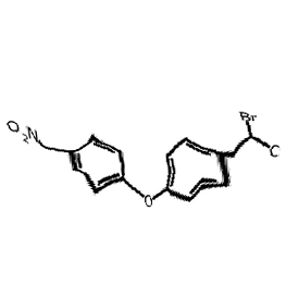 O=CC(Br)c1ccc(Oc2ccc([N+](=O)[O-])cc2)cc1